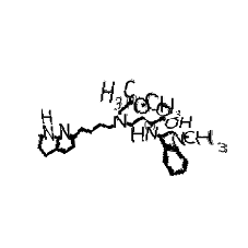 CO[C@H](C)CN(CCCCc1ccc2c(n1)NCCC2)CC[C@H](Nc1cn(C)c2ccccc12)C(=O)O